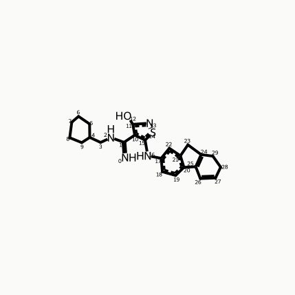 N=C(NCC1CCCCC1)c1c(O)nsc1Nc1ccc2c(c1)CC1=C2C=CCC1